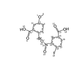 COc1ccc(Br)c(C(=O)O)c1.O=C(O)c1ccc(F)c([N+](=O)[O-])c1